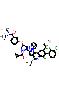 Cc1nc2c(F)c(-c3cccc(Cl)c3Cl)c(CCC#N)cc2c2c1cc(C1CC(Oc3cccc(C(=O)N(C)C)c3)CN1C(=O)C1CC1)n2C1C2CNC1C2